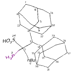 CCCCC(P)(C(C12CC3CC(CC(C3)C1)C2)C12CC3CC(CC(C3)C1)C2)S(=O)(=O)O